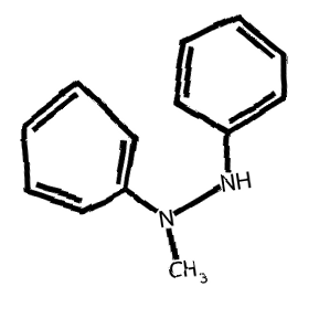 CN(Nc1ccccc1)c1ccccc1